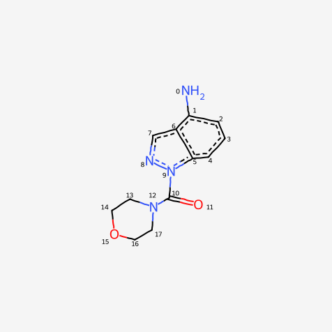 Nc1cccc2c1cnn2C(=O)N1CCOCC1